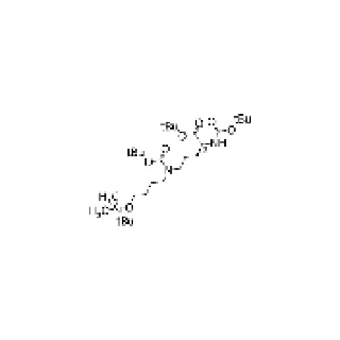 CC(C)(C)OC(=O)N[C@@H](CCCN(CCCCO[Si](C)(C)C(C)(C)C)C(=O)OC(C)(C)C)C(=O)OC(C)(C)C